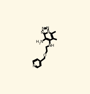 Cc1c(NCCOCc2ccncc2)c(N)c2nnnn2c1C